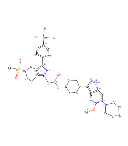 CO[n+]1cc2c(C3CCN(CC(O)Cn4nc(-c5ccc(C(F)(F)F)cc5)c5c4CCN(S(C)(=O)=O)C5)CC3)c[nH]c2cc1N1CCOCC1